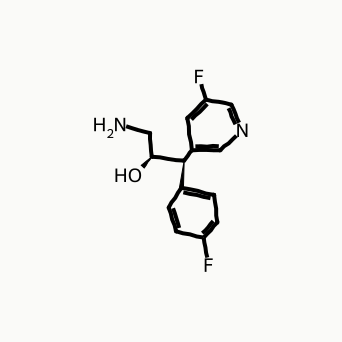 NC[C@H](O)[C@H](c1ccc(F)cc1)c1cncc(F)c1